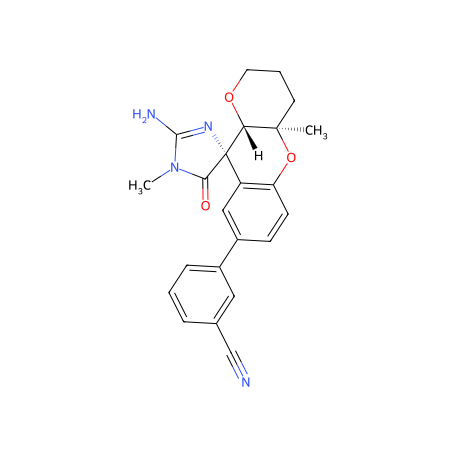 CN1C(=O)[C@]2(N=C1N)c1cc(-c3cccc(C#N)c3)ccc1O[C@]1(C)CCCO[C@H]12